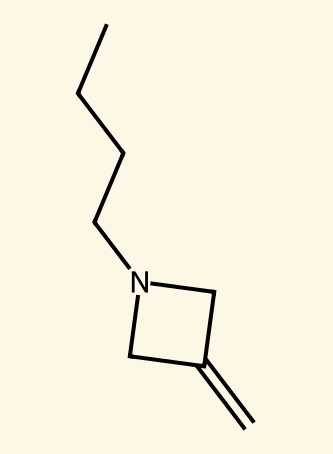 C=C1CN(CCCC)C1